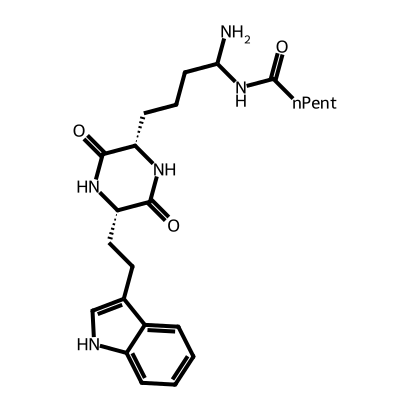 CCCCCC(=O)NC(N)CCC[C@@H]1NC(=O)[C@H](CCc2c[nH]c3ccccc23)NC1=O